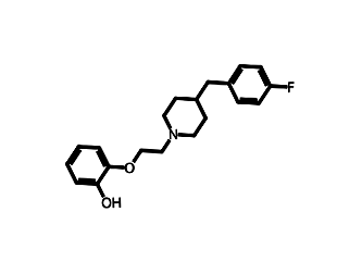 Oc1ccccc1OCCN1CCC(Cc2ccc(F)cc2)CC1